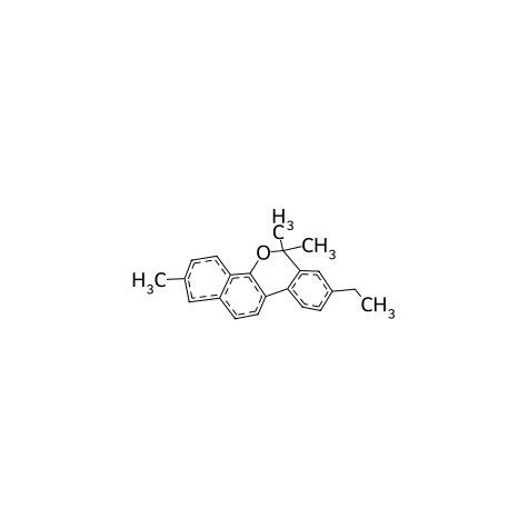 CCc1ccc2c(c1)C(C)(C)Oc1c-2ccc2cc(C)ccc12